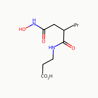 CC(C)C(CC(=O)NO)C(=O)NCCC(=O)O